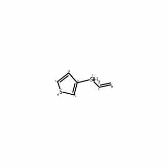 C=C[SiH2]c1ccsc1